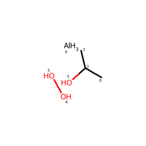 CC(C)O.OO.[AlH3]